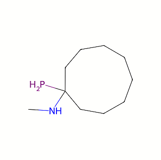 CNC1(P)CCCCCCCC1